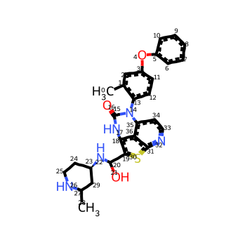 Cc1cc(Oc2ccccc2)ccc1N1C(=O)Nc2c(C(O)N[C@@H]3CCNC(C)C3)sc3nccc1c23